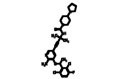 CC(Oc1cc(C#CC(C)(C)NC(=O)N2CCC(N3CCCC3)CC2)cnc1N)c1c(Cl)ccc(F)c1Cl